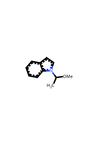 COC(C)n1c[c]c2ccccc21